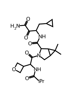 CC(C)C(=O)NC(C(=O)N1CC2C(C1C(=O)NC(CC1CC1)C(=O)C(N)=O)C2(C)C)C1COC1